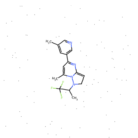 CC1=CC(c2cncc(C)c2)=NC2=CCN(C(C)C(F)(F)F)N12